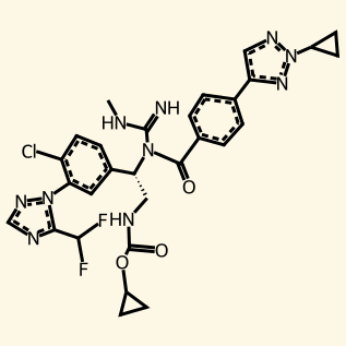 CNC(=N)N(C(=O)c1ccc(-c2cnn(C3CC3)n2)cc1)[C@H](CNC(=O)OC1CC1)c1ccc(Cl)c(-n2ncnc2C(F)F)c1